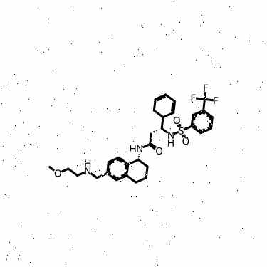 COCCNCc1ccc2c(c1)CCC[C@H]2NC(=O)C[C@@H](NS(=O)(=O)c1cccc(C(F)(F)F)c1)C1C=CC=CC1